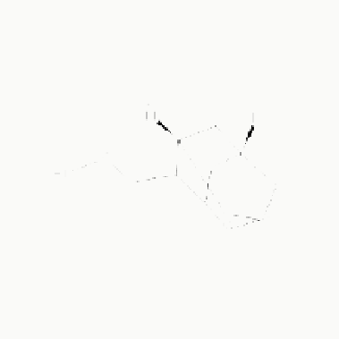 CCOCC1C2CC3C[C@H](C2)C[C@@H]1C3